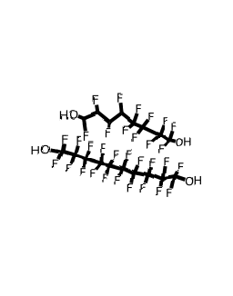 OC(F)(F)C(F)(F)C(F)(F)C(F)(F)C(F)(F)C(F)(F)C(F)(F)C(F)(F)C(F)(F)C(O)(F)F.OC(F)C(F)C(F)C(F)C(F)(F)C(F)(F)C(F)(F)C(O)(F)F